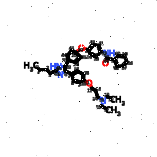 CCCCc1nc(-c2ccc(OCCCN(CC)CC)cc2)c(-c2ccc(Oc3ccc(NC(=O)c4ccccc4)cc3)cc2)[nH]1